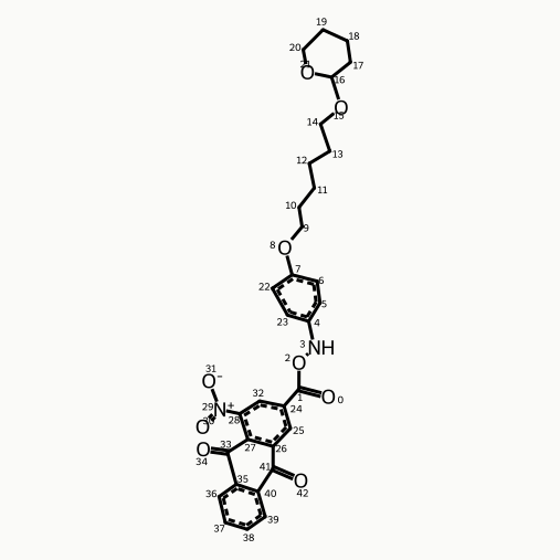 O=C(ONc1ccc(OCCCCCCOC2CCCCO2)cc1)c1cc2c(c([N+](=O)[O-])c1)C(=O)c1ccccc1C2=O